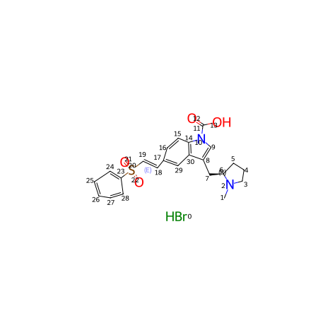 Br.CN1CCC[C@@H]1Cc1cn(C(=O)O)c2ccc(/C=C/S(=O)(=O)c3ccccc3)cc12